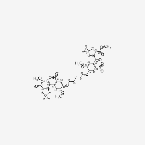 COC(=O)[C@@H]1CC2(CC2)CN1C(=O)c1cc(OC)c(OCCCCCOc2cc([N+](=O)[O-])c(C(=O)N3CC4(CC4)C[C@H]3C(=O)OC)cc2OC)cc1[N+](=O)[O-]